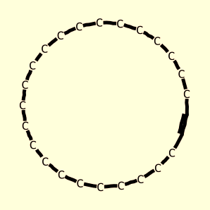 C1=CCCCCCCCCCCCCCCCCCCCCCCC1